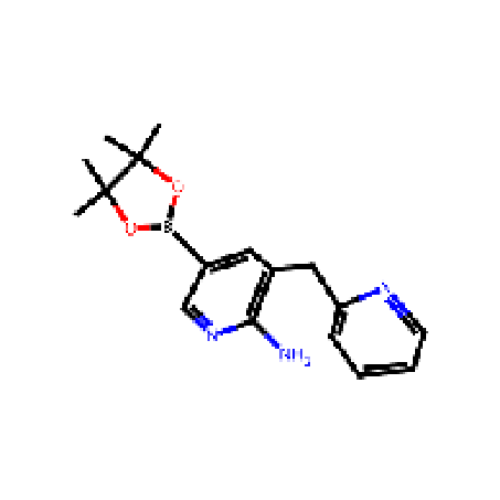 CC1(C)OB(c2cnc(N)c(Cc3ccccn3)c2)OC1(C)C